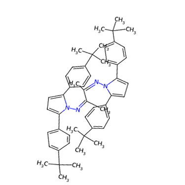 CC(=N/n1c(-c2ccc(C(C)(C)C)cc2)ccc1-c1ccc(C(C)(C)C)cc1)/C(C)=N\n1c(-c2ccc(C(C)(C)C)cc2)ccc1-c1ccc(C(C)(C)C)cc1